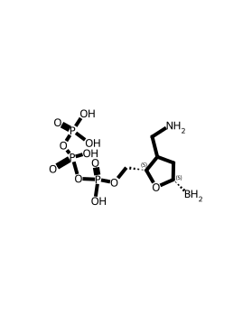 B[C@H]1CC(CN)[C@@H](COP(=O)(O)OP(=O)(O)OP(=O)(O)O)O1